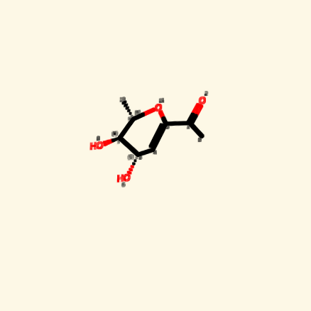 CC(=O)C1=C[C@H](O)[C@@H](O)[C@H](C)O1